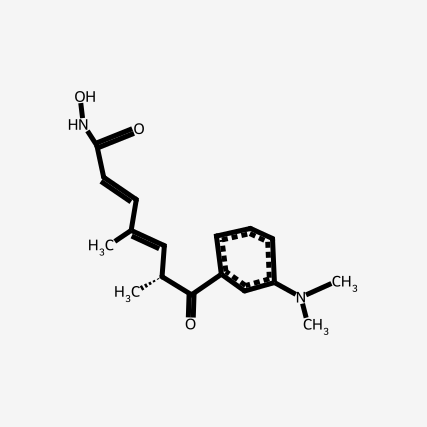 CC(/C=C/C(=O)NO)=C\[C@@H](C)C(=O)c1cccc(N(C)C)c1